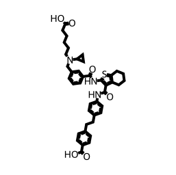 O=C(O)CCCCCN(Cc1cccc(C(=O)Nc2sc3c(c2C(=O)Nc2ccc(CCc4ccc(C(=O)O)cc4)cc2)CCCC3)c1)C1CC1